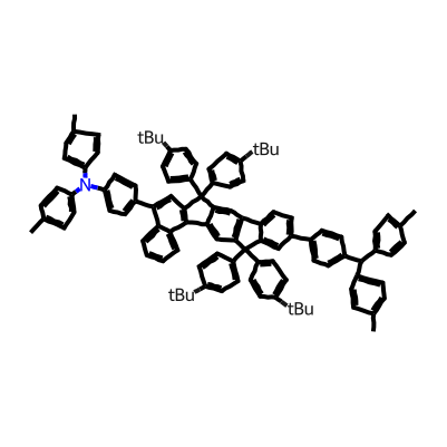 Cc1ccc(C(c2ccc(C)cc2)c2ccc(-c3ccc4c(c3)C(c3ccc(C(C)(C)C)cc3)(c3ccc(C(C)(C)C)cc3)c3cc5c(cc3-4)C(c3ccc(C(C)(C)C)cc3)(c3ccc(C(C)(C)C)cc3)c3cc(-c4ccc(N(c6ccc(C)cc6)c6ccc(C)cc6)cc4)c4ccccc4c3-5)cc2)cc1